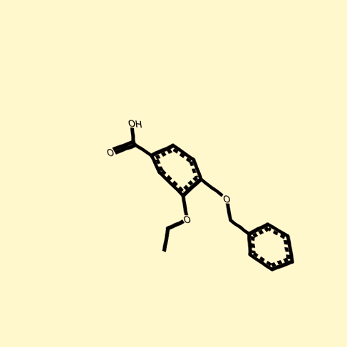 CCOc1cc(C(=O)O)ccc1OCc1ccccc1